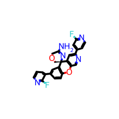 NC1=N[C@@]2(COC1)c1cc(-c3cccnc3F)ccc1Oc1cnc(-c3ccnc(F)c3)cc12